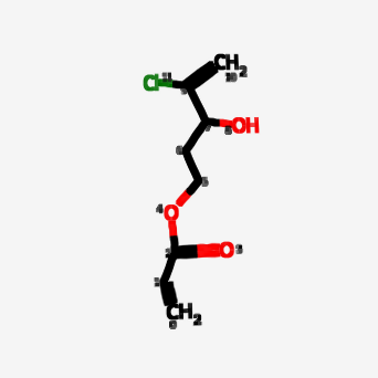 C=CC(=O)OCCC(O)C(=C)Cl